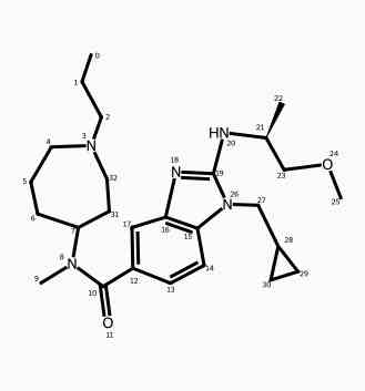 CCCN1CCCC(N(C)C(=O)c2ccc3c(c2)nc(N[C@@H](C)COC)n3CC2CC2)CC1